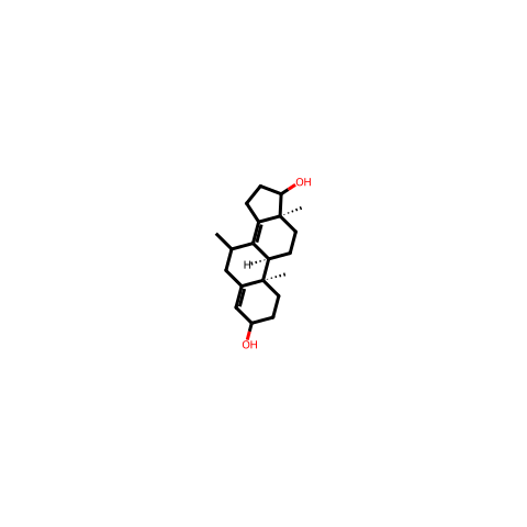 CC1CC2=CC(O)CC[C@]2(C)[C@@H]2CC[C@@]3(C)C(=C12)CCC3O